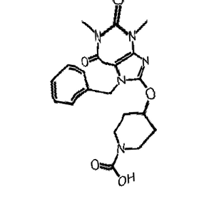 Cn1c(=O)c2c(nc(OC3CCN(C(=O)O)CC3)n2Cc2ccccc2)n(C)c1=O